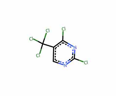 Clc1ncc(C(Cl)(Cl)Cl)c(Cl)n1